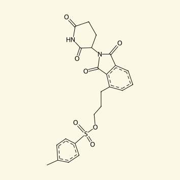 Cc1ccc(S(=O)(=O)OCCCc2cccc3c2C(=O)N(C2CCC(=O)NC2=O)C3=O)cc1